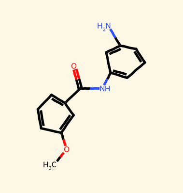 COc1cccc(C(=O)Nc2cccc(N)c2)c1